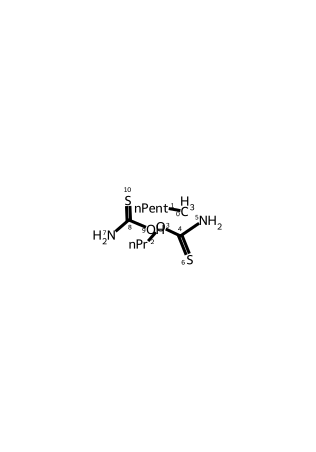 CCCCCC.CCCOC(N)=S.NC(O)=S